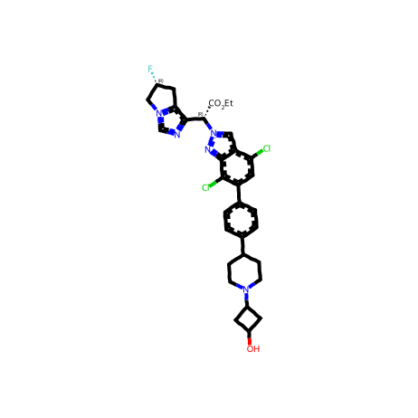 CCOC(=O)[C@@H](c1ncn2c1C[C@@H](F)C2)n1cc2c(Cl)cc(-c3ccc(C4CCN(C5CC(O)C5)CC4)cc3)c(Cl)c2n1